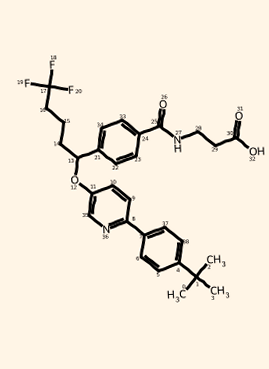 CC(C)(C)c1ccc(-c2ccc(OC(CCCC(F)(F)F)c3ccc(C(=O)NCCC(=O)O)cc3)cn2)cc1